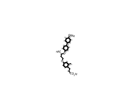 CCC[C@@H](CCOc1ccc(CCC(=O)O)c(C)c1)Oc1ccc(-c2ccc(OC)cc2)cc1